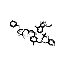 CCn1nnc2c(C)c([C@H](c3ccc(C)c(CN4Cc5cnccc5OC(C)(C)C4)c3)[C@@H](C)C(=O)CN3C(=O)OC[C@@H]3Cc3ccccc3)ccc21